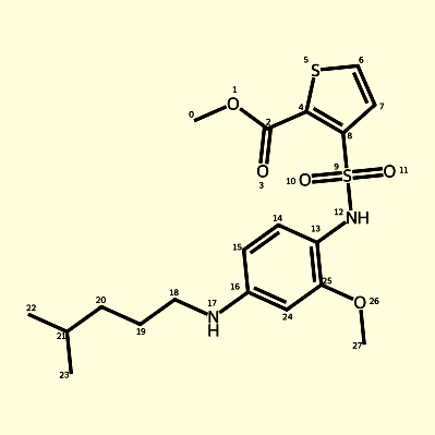 COC(=O)c1sccc1S(=O)(=O)Nc1ccc(NCCCC(C)C)cc1OC